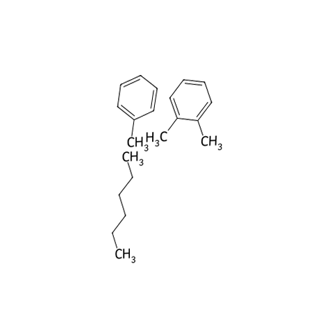 CCCCCC.Cc1ccccc1.Cc1ccccc1C